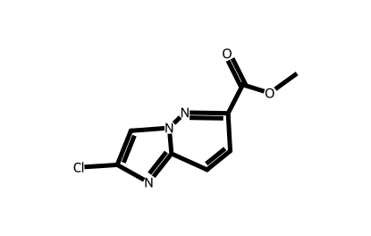 COC(=O)c1ccc2nc(Cl)cn2n1